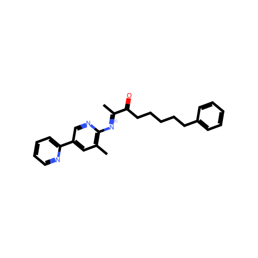 C/C(=N\c1ncc(-c2ccccn2)cc1C)C(=O)CCCCCc1ccccc1